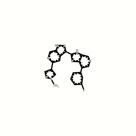 Cn1cc(-c2cc3c(-c4nc5c(-c6cccc(F)c6)cncc5[nH]4)n[nH]c3cn2)cn1